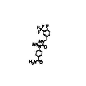 NC(=O)c1ccc(N(S)C(=O)NCc2ccc(F)c(C(F)(F)F)c2)cc1